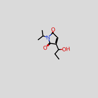 CCC(O)C1=CC(=O)N(C(C)C)C1=O